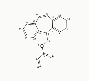 C=CC(=O)OCC1c2ccccc2C=Cc2ccccc21